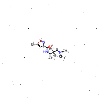 CCc1cc(C(=O)NC(C)C(CC)(CC)CN(C)C)no1